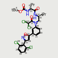 CC(C)[C@H](NC(=O)OC(C)(C)C)C(=O)N[C@H](CN(C(=O)C(Cl)Cl)c1cccc(-c2cc(-c3c(Cl)cccc3Cl)no2)c1)C(C)C